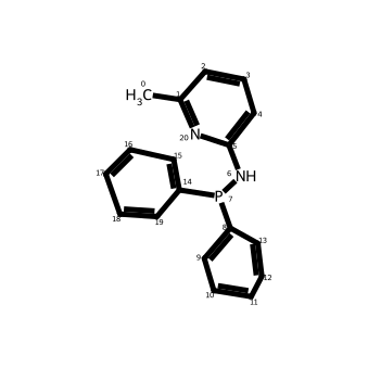 Cc1cccc(NP(c2ccccc2)c2ccccc2)n1